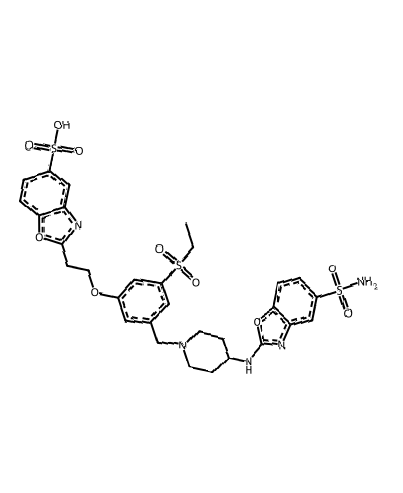 CCS(=O)(=O)c1cc(CN2CCC(Nc3nc4cc(S(N)(=O)=O)ccc4o3)CC2)cc(OCCc2nc3cc(S(=O)(=O)O)ccc3o2)c1